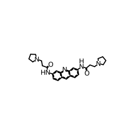 O=C(CCN1CCCC1)Nc1ccc2cc3ccc(NC(=O)CCN4CCCC4)cc3nc2c1